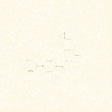 C[C@H](NC(=O)c1ccc(-c2ccccc2)nc1N)C(=O)N1CCC2(CC1)CC2